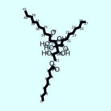 CCCCCCCCC(=O)OC[C@@H](O)[C@@H](O)[C@@](O)(C(=O)CCCCCCCC)[C@@H](O)C(O)C(=O)CCCCCCCC